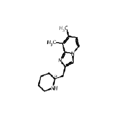 Cc1ccn2cc(C[C@@H]3CCCCN3)nc2c1C